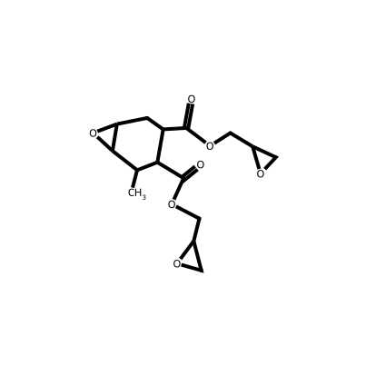 CC1C2OC2CC(C(=O)OCC2CO2)C1C(=O)OCC1CO1